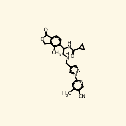 Cc1cc(-n2cc(CNCC(NC(=O)C3CC3)c3ccc4c(c3C)COC4=O)cn2)ncc1C#N